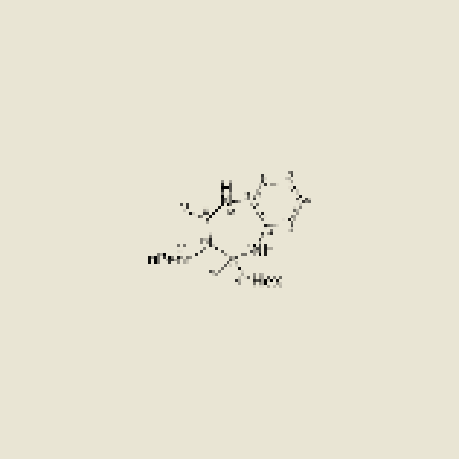 CCCCCCC1(C)Nc2ccccc2NC(C)C1CCCCC